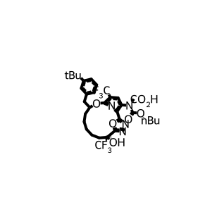 CCCCOC(=O)N(C(=O)O)c1cc(C(F)(F)F)c2nc1-c1nnc(o1)[C@@](O)(C(F)(F)F)CCCCCC(Cc1cccc(C(C)(C)C)c1)O2